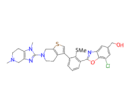 CSc1c(-c2nc3cc(CO)cc(Cl)c3o2)cccc1-c1csc2c1CCN(c1nc3c(n1C)CCN(C)C3)C2